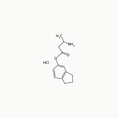 CC(N)CC(=O)Oc1ccc2c(c1)CCC2.Cl